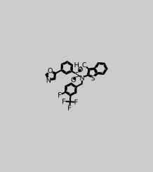 Cc1c(N(Cc2ccc(F)c(C(F)(F)F)c2)S(=O)(=O)c2cccc(-c3cnco3)c2)sc2ccccc12